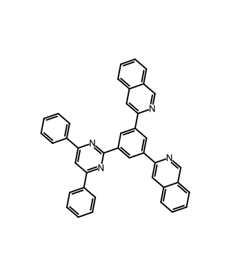 c1ccc(-c2cc(-c3ccccc3)nc(-c3cc(-c4cc5ccccc5cn4)cc(-c4cc5ccccc5cn4)c3)n2)cc1